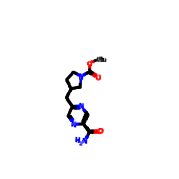 CC(C)(C)OC(=O)N1CCC(Cc2cnc(C(N)=O)cn2)C1